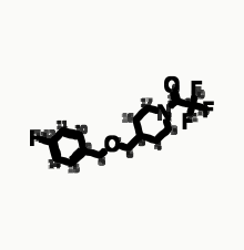 O=C(N1CCC(COCc2ccc(F)cc2)CC1)C(F)(F)F